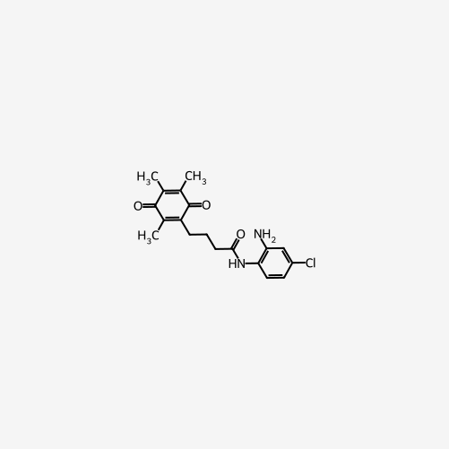 CC1=C(C)C(=O)C(CCCC(=O)Nc2ccc(Cl)cc2N)=C(C)C1=O